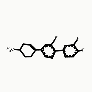 CC1CC=C(c2ccc(-c3ccc(F)c(F)c3)c(F)c2)CC1